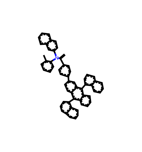 C=C(c1ccc(-c2ccc3c(-c4cccc5ccccc45)c4ccccc4c(-c4cccc5ccccc45)c3c2)cc1)N(c1ccc2ccccc2c1)c1ccccc1C